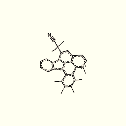 Cc1c(C)c(C)c2c(c1C)c1c3c(cc[n+]1C)cc(C(C)(C)C#N)c1c4ccccc4n2c13